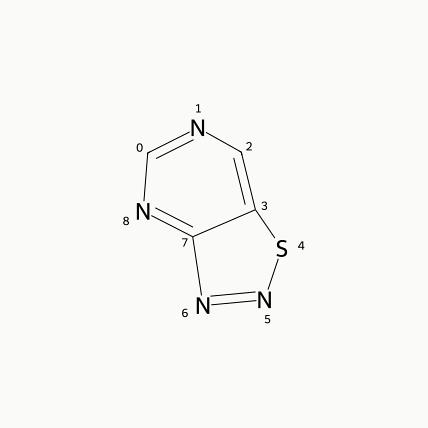 c1ncc2snnc2n1